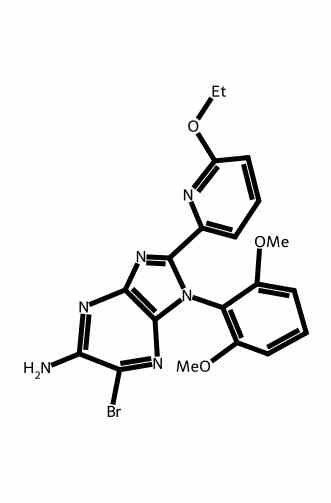 CCOc1cccc(-c2nc3nc(N)c(Br)nc3n2-c2c(OC)cccc2OC)n1